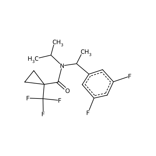 CC(C)N(C(=O)C1(C(F)(F)F)CC1)C(C)c1cc(F)cc(F)c1